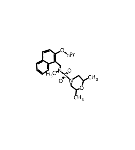 CCCOc1ccc2ccccc2c1CN(C)S(=O)(=O)N1CC(C)OC(C)C1